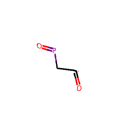 O=[C]CP=O